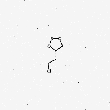 ClCC[C@H]1COSO1